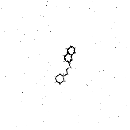 c1ccc2cc(OCCN3CCCCC3)ccc2c1